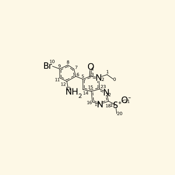 CCn1c(=O)c(-c2ccc(Br)cc2N)cc2cnc([S+](C)[O-])nc21